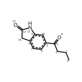 CCCC(=O)c1ccc2c(c1)NC(=O)C2